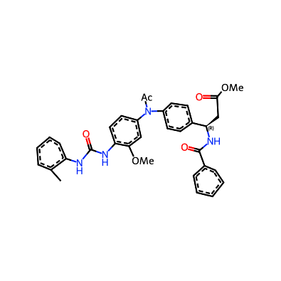 COC(=O)C[C@@H](NC(=O)c1ccccc1)c1ccc(N(C(C)=O)c2ccc(NC(=O)Nc3ccccc3C)c(OC)c2)cc1